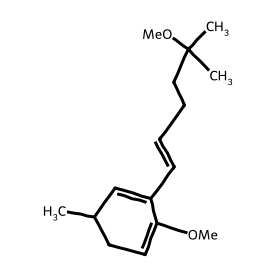 COC1=CCC(C)C=C1/C=C/CCC(C)(C)OC